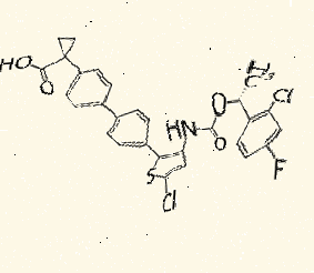 C[C@@H](OC(=O)Nc1cc(Cl)sc1-c1ccc(-c2ccc(C3(C(=O)O)CC3)cc2)cc1)c1ccc(F)cc1Cl